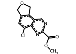 COC(=O)c1ncc2c3c(cc(Cl)c2n1)COC3